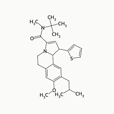 COc1cc2c(cc1CC(C)C)C1C(c3cccs3)C=C(C(=O)N(C)C(C)(C)C)N1CC2